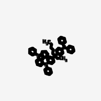 CCCCCC(CC)(c1ccc(N(c2ccccc2)c2ccccc2)cc1)c1ccc(N(c2ccccc2)c2cccc3c2c2ccccc2n3-c2ccccc2)cc1